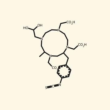 CC1CN(CC(O)O)CCN(CC(=O)O)CCN(CC(=O)O)C(Cc2ccc(N=C=S)cc2)CN1CC(=O)O